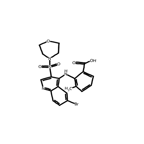 Cc1cccc(C(=O)O)c1Nc1c(S(=O)(=O)N2CCOCC2)cnc2ccc(Br)cc12